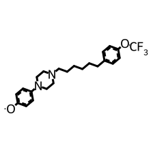 [O]c1ccc(N2CCN(CCCCCCc3ccc(OC(F)(F)F)cc3)CC2)cc1